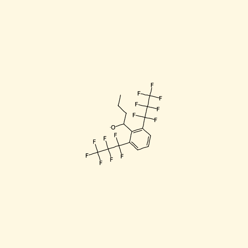 CCCC([O])c1c(C(F)(F)C(F)(F)C(F)(F)F)cccc1C(F)(F)C(F)(F)C(F)(F)F